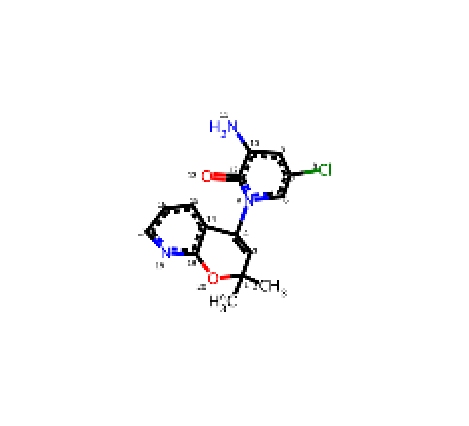 CC1(C)C=C(n2cc(Cl)cc(N)c2=O)c2cccnc2O1